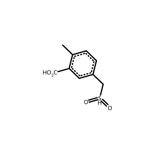 Cc1ccc(C[SH](=O)=O)cc1C(=O)O